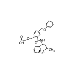 CC(C)CC(NC(=O)c1cc(COc2ccccc2)ccc1COCC(=O)O)c1ccccc1